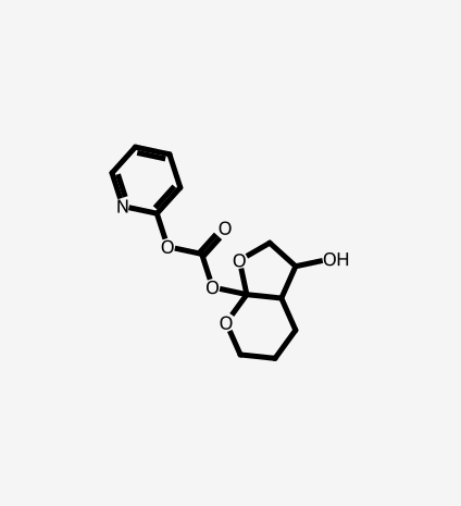 O=C(Oc1ccccn1)OC12OCCCC1C(O)CO2